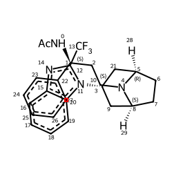 CC(=O)N[C@@H](CCN1[C@@H]2CC[C@H]1C[C@H](n1c(C(F)(F)F)nc3ccccc31)C2)c1ccccc1